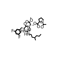 CCCC(C)CCNC(=O)N[C@@H](Cc1cc(F)cc(F)c1)C(=O)N[C@@H](COC(=O)C1CCCN1C(C)=O)C(=O)OC